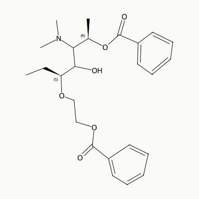 CC[C@H](OCCOC(=O)c1ccccc1)C(O)C([C@@H](C)OC(=O)c1ccccc1)N(C)C